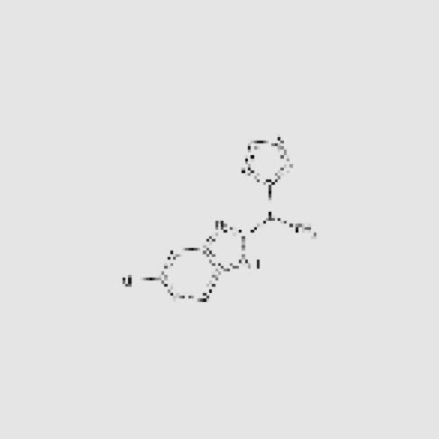 CN(c1ccsc1)c1nc2cc(Cl)ccc2[nH]1